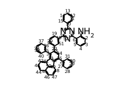 Nc1ccccc1-c1nc(-c2ccccc2)nc(-c2cccc(-c3cc(-c4ccccc4)c4c(c3-c3ccccc3)-c3cccc5cccc-4c35)c2)n1